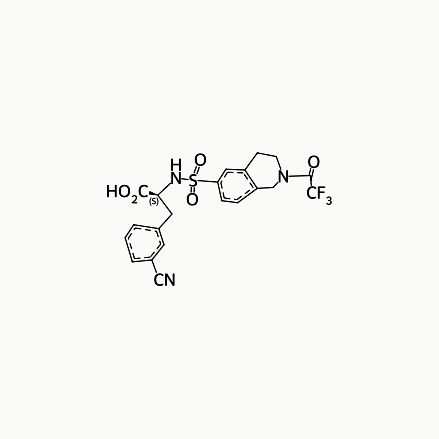 N#Cc1cccc(C[C@H](NS(=O)(=O)c2ccc3c(c2)CCN(C(=O)C(F)(F)F)C3)C(=O)O)c1